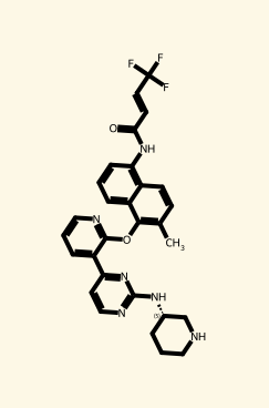 Cc1ccc2c(NC(=O)C=CC(F)(F)F)cccc2c1Oc1ncccc1-c1ccnc(N[C@H]2CCCNC2)n1